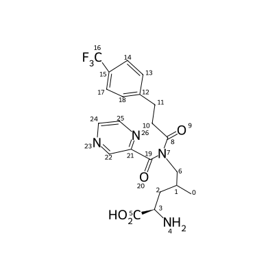 CC(C[C@@H](N)C(=O)O)CN(C(=O)CCc1ccc(C(F)(F)F)cc1)C(=O)c1cnccn1